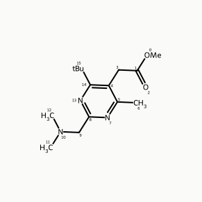 COC(=O)Cc1c(C)nc(CN(C)C)nc1C(C)(C)C